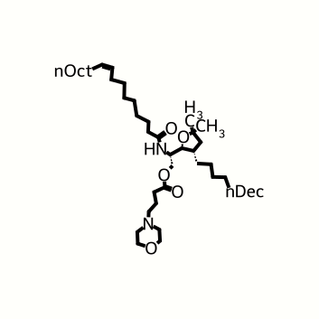 CCCCCCCC/C=C\CCCCCCCC(=O)N[C@@H](COC(=O)CCCN1CCOCC1)[C@@H]1OC(C)(C)C[C@@H]1CCCCCCCCCCCCCC